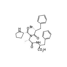 C[C@@H](C(=O)N[C@@H](Cc1ccccc1)C(=O)O)N(C(=O)[C@H](Br)Cc1ccccc1)C(=O)[C@@H]1CCCN1